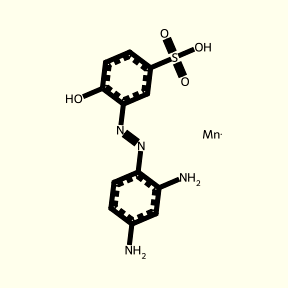 Nc1ccc(/N=N/c2cc(S(=O)(=O)O)ccc2O)c(N)c1.[Mn]